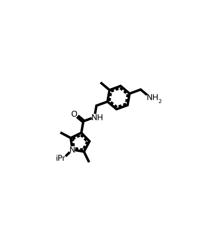 Cc1cc(CN)ccc1CNC(=O)c1cc(C)n(C(C)C)c1C